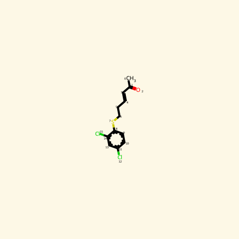 CC(=O)C=CCCSc1ccc(Cl)cc1Cl